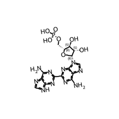 Nc1nc(-c2nc(N)c3ncn([C@@H]4O[C@H](COP(=O)(O)O)[C@@H](O)[C@@H]4O)c3n2)nc2[nH]cnc12